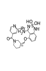 CC(C)c1cc(C(=O)N2CCC[C@H](COc3cccc4c3C(N)=NS(O)(O)N4)C2)ccn1